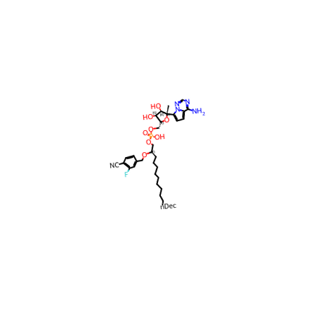 CCCCCCCCCCCCCCCCCCC[C@H](COP(=O)(O)OC[C@H]1O[C@@](C)(c2ccc3c(N)ncnn23)[C@H](O)[C@@H]1O)OCc1ccc(C#N)c(F)c1